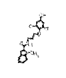 Cn1c(C(=O)NCCCOc2c(Cl)cc(O)cc2Cl)cc2ccccc21